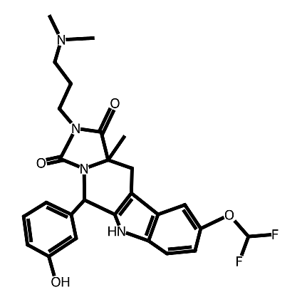 CN(C)CCCN1C(=O)N2C(c3cccc(O)c3)c3[nH]c4ccc(OC(F)F)cc4c3CC2(C)C1=O